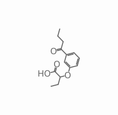 CCCC(=O)c1cccc(OC(CC)C(=O)O)c1